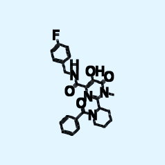 Cn1c(C2CCCCN2C(=O)c2ccccc2)nc(C(=O)NCc2ccc(F)cc2)c(O)c1=O